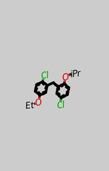 CCOc1ccc(Cl)c(Cc2cc(Cl)ccc2OC(C)C)c1